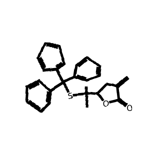 C=C1CC(C(C)(C)SC(c2ccccc2)(c2ccccc2)c2ccccc2)OC1=O